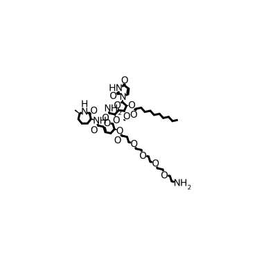 CCCCCCCCCC(=O)O[C@@H]1[C@H](OC)[C@@H]([C@@H](O[C@H]2OC(C(=O)N[C@H]3CCC[C@@H](C)NC3=O)=CC[C@@H]2OC(=O)CCOCCOCCOCCOCCN)C(N)=O)O[C@H]1n1ccc(=O)[nH]c1=O